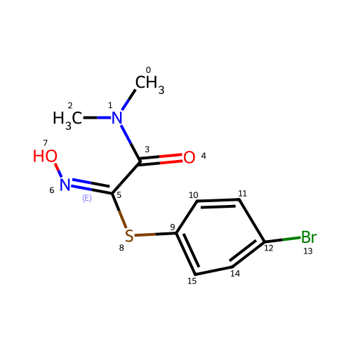 CN(C)C(=O)/C(=N\O)Sc1ccc(Br)cc1